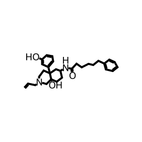 C=CCN1CCC2(c3cccc(O)c3)CC(NC(=O)CCCCCc3ccccc3)CCC2(O)C1